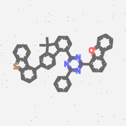 CC1(C)c2cc(-c3cccc4sc5ccccc5c34)ccc2-c2c(-c3nc(-c4ccccc4)nc(-c4cccc5c4oc4ccccc45)n3)cccc21